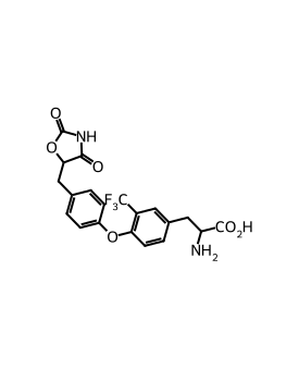 NC(Cc1ccc(Oc2ccc(CC3OC(=O)NC3=O)cc2)c(C(F)(F)F)c1)C(=O)O